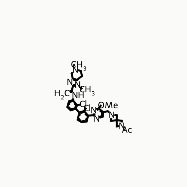 C=C(Nc1cccc(-c2cccc(-c3ncc(CN4CC5(C4)CN(C(C)=O)C5)c(OC)n3)c2Cl)c1Cl)c1nc2c(n1C)CCN(C)C2